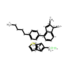 CC1=C2c3ccsc3C1[Si]2(C)C.CCCCCc1ccc(-c2cccc3c2C=C(C)[CH]3[Zr+2])cc1.[Cl-].[Cl-]